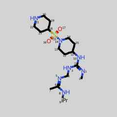 C/N=C(\NC/N=C(/C)NC(C)C)NC1CCN(S(=O)(=O)C2CCNCC2)CC1